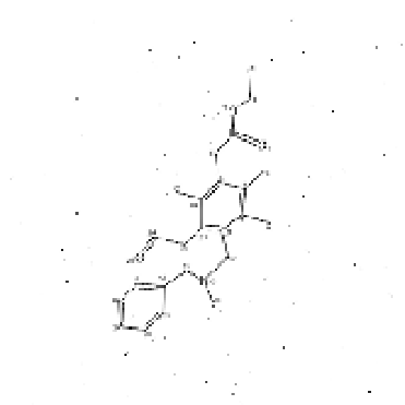 CCOC(=O)Cc1c(C)c(C)c(CN(C)Cc2ccccc2)c(CC=O)c1C